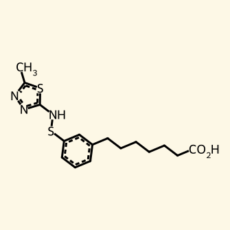 Cc1nnc(NSc2cccc(CCCCCCC(=O)O)c2)s1